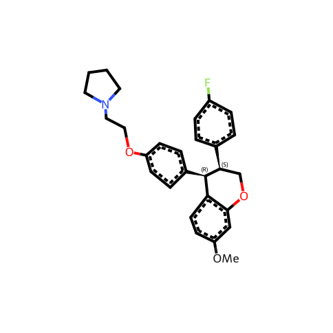 COc1ccc2c(c1)OC[C@H](c1ccc(F)cc1)[C@@H]2c1ccc(OCCN2CCCC2)cc1